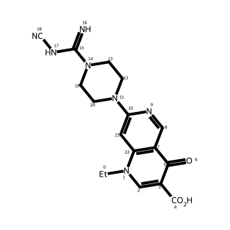 CCn1cc(C(=O)O)c(=O)c2cnc(N3CCN(C(=N)NC#N)CC3)cc21